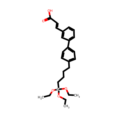 CCO[Si](CCCCc1ccc(-c2cccc(/C=C/C(=O)O)c2)cc1)(OCC)OCC